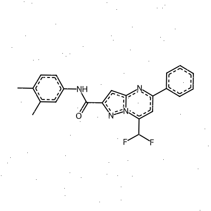 Cc1ccc(NC(=O)c2cc3nc(-c4ccccc4)cc(C(F)F)n3n2)cc1C